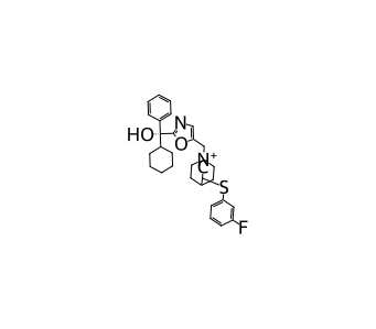 O[C@](c1ccccc1)(c1ncc(C[N+]23CCC(CC2)C(Sc2cccc(F)c2)C3)o1)C1CCCCC1